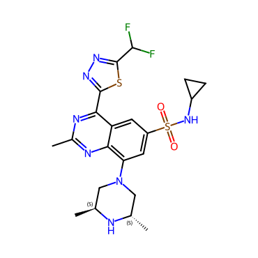 Cc1nc(-c2nnc(C(F)F)s2)c2cc(S(=O)(=O)NC3CC3)cc(N3C[C@H](C)N[C@@H](C)C3)c2n1